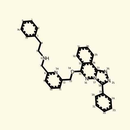 c1ccc(CCNCc2cccc(COc3nn4c(-c5ccccc5)nnc4c4ccccc34)n2)cc1